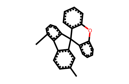 Cc1ccc2c(c1)C1(c3ccccc3Oc3ccccc31)c1cccc(C)c1-2